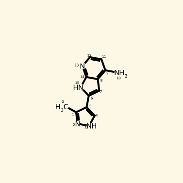 Cc1n[nH]cc1-c1cc2c(N)ccnc2[nH]1